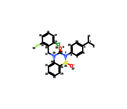 CC(C)c1ccc(N2C(=O)N(Cc3c(F)cccc3Cl)c3ccccc3[S+]2[O-])cc1